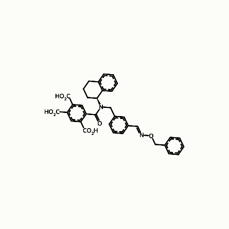 O=C(O)c1cc(C(=O)O)c(C(=O)N(Cc2cccc(C=NOCc3ccccc3)c2)[C@H]2CCCc3ccccc32)cc1C(=O)O